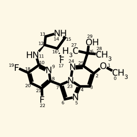 COc1cc2ncc(-c3nc(N[C@H]4CNC[C@@H]4F)c(F)cc3F)n2nc1C(C)(C)O